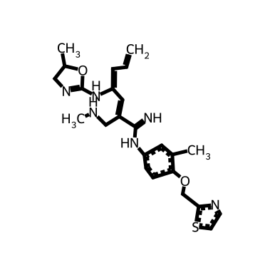 C=C/C=C(\C=C(/CNC)C(=N)Nc1ccc(OCc2nccs2)c(C)c1)NC1=NCC(C)O1